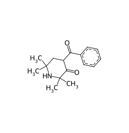 CC1(C)CC(C(=O)c2ccccc2)C(=O)C(C)(C)N1